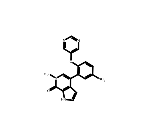 Cn1cc(-c2cc([N+](=O)[O-])ccc2Oc2cncnc2)c2cc[nH]c2c1=O